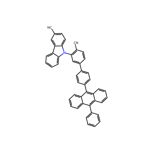 N#Cc1ccc2c(c1)c1ccccc1n2-c1cc(-c2ccc(-c3c4ccccc4c(-c4ccccc4)c4ccccc34)cc2)ccc1C#N